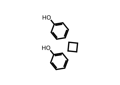 C1CCC1.Oc1ccccc1.Oc1ccccc1